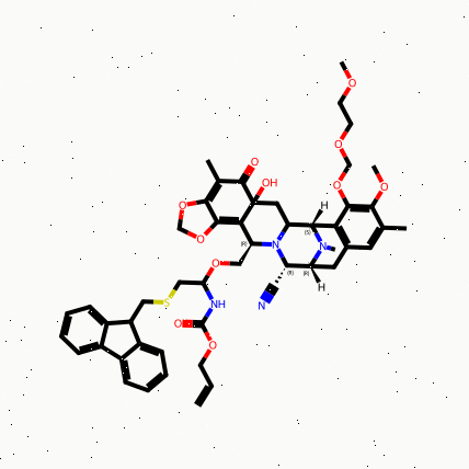 C=CCOC(=O)NC(CSCC1c2ccccc2-c2ccccc21)OC[C@H]1C2=C3OCOC3=C(C)C(=O)C2(O)CC2[C@@H]3c4c(cc(C)c(OC)c4OCOCCOC)C[C@H]([C@H](C#N)N21)N3C